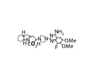 COc1cc2c(N)nc(N3CCN(C(=O)C[C@@H]4C[C@@H]5CCCC[C@@H]5N4C(=O)O)CC3)nc2c(F)c1OC